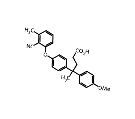 COc1ccc(C(C)(CCC(=O)O)c2ccc(Oc3cccc(C)c3C#N)cc2)cc1